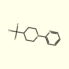 FC(F)(F)C1CCN(c2ccccn2)CC1